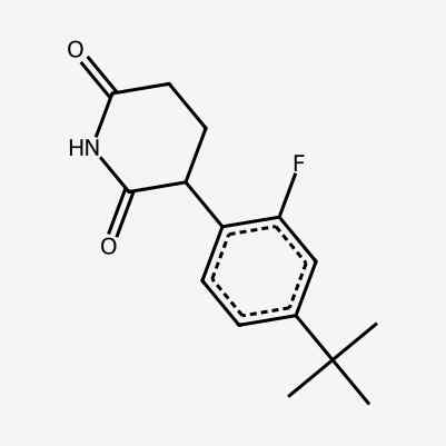 CC(C)(C)c1ccc(C2CCC(=O)NC2=O)c(F)c1